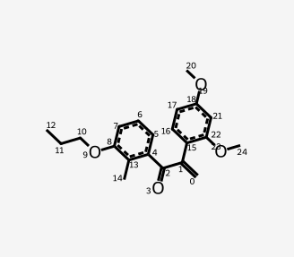 C=C(C(=O)c1cccc(OCCC)c1C)c1ccc(OC)cc1OC